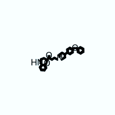 O=C(CCCN1CCC(c2ccc(Oc3ccccc3)cc2)CC1)C1CCNc2ccccc2O1